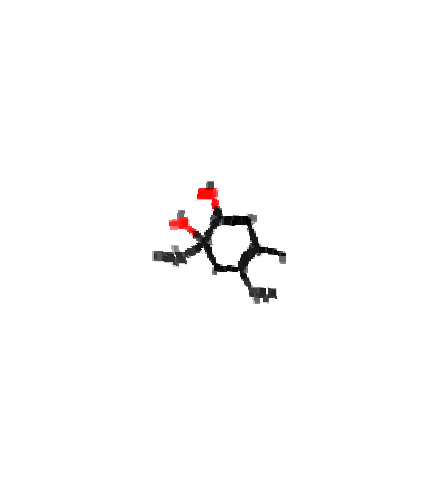 CC1=C(C(=O)O)CC(O)(C(=O)O)C(O)=C1